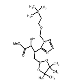 CCCC(C(=O)OC)[C@H](CB1OC(C)(C)C(C)(C)O1)c1nnnn1COCC[Si](C)(C)C